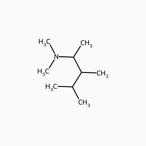 CC(C)C(C)C(C)N(C)C